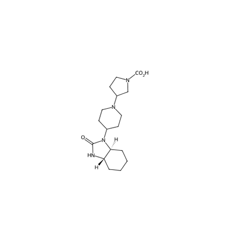 O=C(O)N1CCC(N2CCC(N3C(=O)N[C@H]4CCCC[C@@H]43)CC2)C1